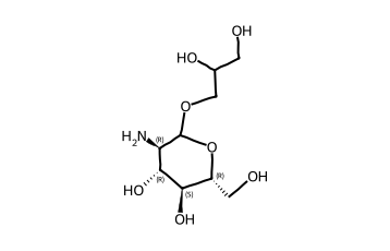 N[C@H]1C(OCC(O)CO)O[C@H](CO)[C@@H](O)[C@@H]1O